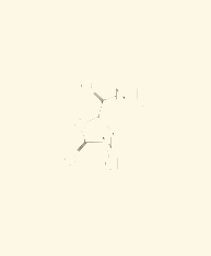 CN1CC(C(N)=O)OC1=O